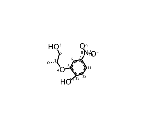 C[C@H](CO)Oc1cc([N+](=O)[O-])ccc1O